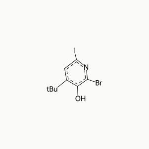 CC(C)(C)c1cc(I)nc(Br)c1O